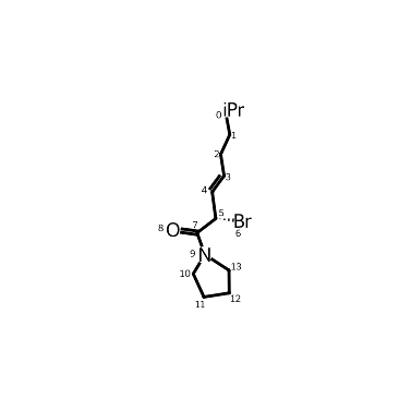 CC(C)CC/C=C/[C@H](Br)C(=O)N1CCCC1